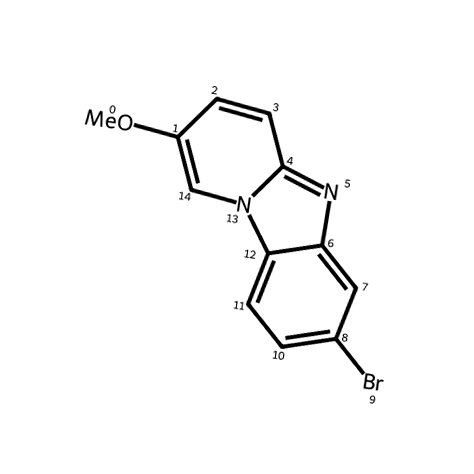 COc1ccc2nc3cc(Br)ccc3n2c1